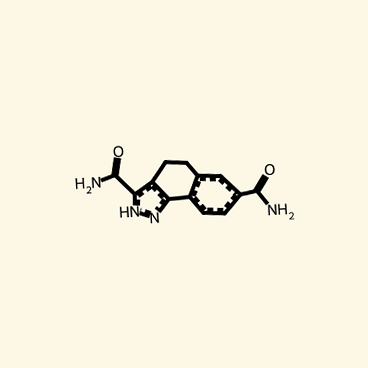 NC(=O)c1ccc2c(c1)CCc1c-2n[nH]c1C(N)=O